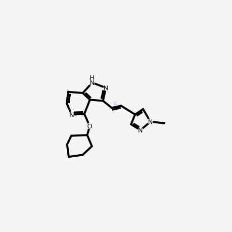 Cn1cc(/C=C/c2n[nH]c3ccnc(OC4CCCCC4)c23)cn1